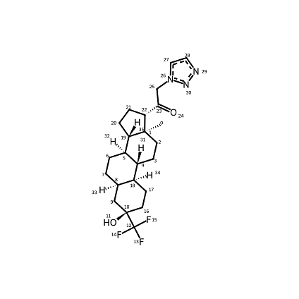 C[C@]12CC[C@H]3[C@@H](CC[C@@H]4C[C@@](O)(C(F)(F)F)CC[C@@H]43)[C@@H]1CC[C@@H]2C(=O)Cn1ccnn1